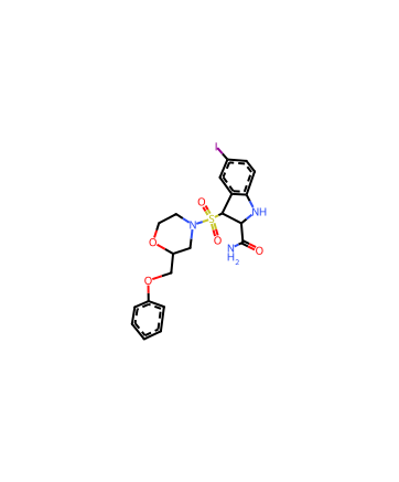 NC(=O)C1Nc2ccc(I)cc2C1S(=O)(=O)N1CCOC(COc2ccccc2)C1